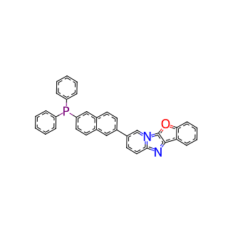 c1ccc(P(c2ccccc2)c2ccc3cc(-c4ccc5nc6c7ccccc7oc6n5c4)ccc3c2)cc1